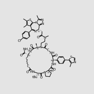 Cc1ncsc1-c1ccc([C@H]2NC(=O)[C@@H]3CCCN3C(=O)[C@H](C(C)(C)C)NC(=O)CSC[C@H](C(N)=O)NC(=O)[C@@H](C)N(CCN(C)C(=O)C[C@@H]3N=C(c4ccc(Cl)cc4)c4c(sc(C)c4C)-n4c(C)nnc43)C(=O)CNC2=O)cc1